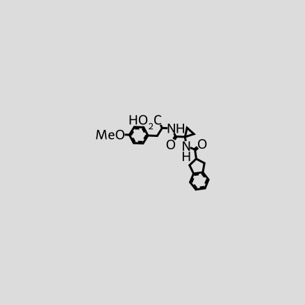 COc1ccc(CC(NC(=O)C2(NC(=O)C3Cc4ccccc4C3)CC2)C(=O)O)cc1